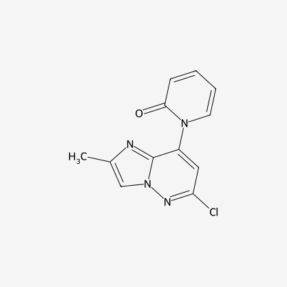 Cc1cn2nc(Cl)cc(-n3ccccc3=O)c2n1